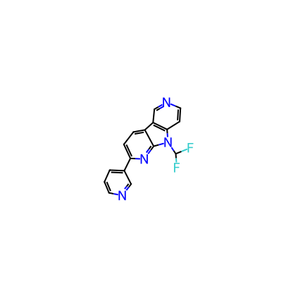 FC(F)n1c2ccncc2c2ccc(-c3cccnc3)nc21